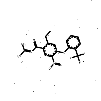 CCc1cc(Sc2ccccc2C(F)(F)F)c([N+](=O)[O-])cc1C(=O)N=C(N)N